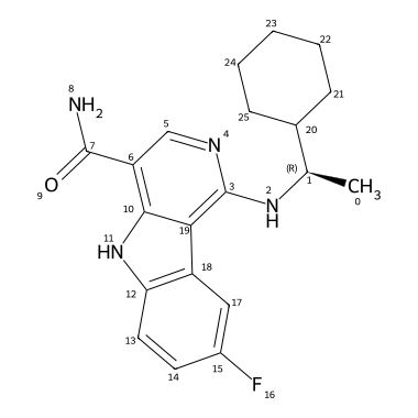 C[C@@H](Nc1ncc(C(N)=O)c2[nH]c3ccc(F)cc3c12)C1CCCCC1